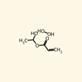 C=CC(=O)OC(C)O.OO